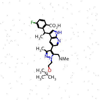 CNCc1c(-c2cnc3[nH]cc(C(C)c4cc(F)ccc4C(=O)O)c3c2)c(C)nn1CCO[Si](C)(C)C